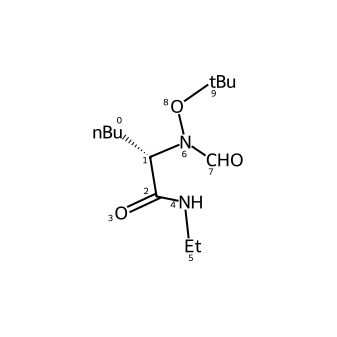 CCCC[C@@H](C(=O)NCC)N(C=O)OC(C)(C)C